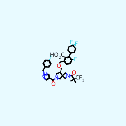 CC(C)(C(=O)N1CC2(CN(C(=O)c3cnn(Cc4ccc(F)cc4)c3)C[C@H]2COCc2ccc(F)c(C3CCC(F)(F)CC3)c2C(=O)O)C1)C(F)(F)F